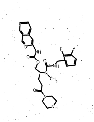 CN(C(=O)NCc1cccc(F)c1F)[C@@H](CCC(=O)N1CCNCC1)COC(=O)Nc1cc2ccccc2cn1